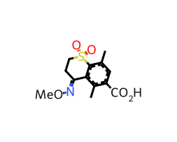 CON=C1CCS(=O)(=O)c2c(C)cc(C(=O)O)c(C)c21